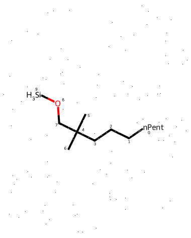 CCCCCCCCC(C)(C)CO[SiH3]